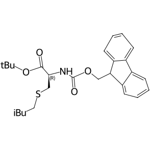 CCC(C)CSC[C@H](NC(=O)OCC1c2ccccc2-c2ccccc21)C(=O)OC(C)(C)C